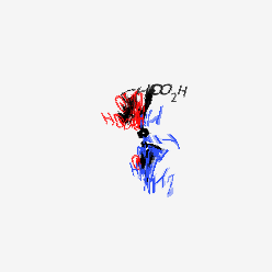 Nc1nc2ncc(CNc3ccc(C(=O)NC(CCC(=O)O)C(=O)O[C@@H](C=O)[C@@H](O)[C@H](O)[C@H](O)CO)cc3)nc2c(=O)[nH]1